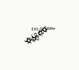 CCOC(=O)[C@]1(c2ccc(NC(=O)c3cnn(-c4ccc(C)cc4)c3C)cn2)CC[C@H](OC)CC1